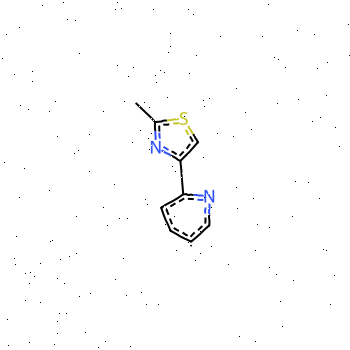 Cc1nc(-c2cc[c]cn2)cs1